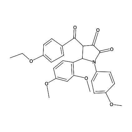 CCOc1ccc(C(=O)C2C(=O)C(=O)N(c3ccc(OC)cc3)C2c2ccc(OC)cc2OC)cc1